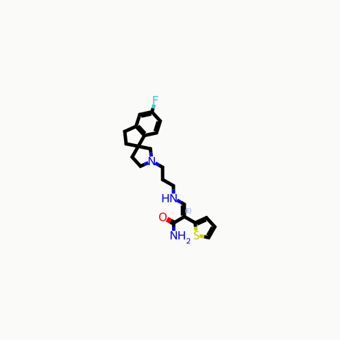 NC(=O)/C(=C\NCCCN1CCC2(CCc3cc(F)ccc32)C1)c1cccs1